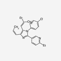 C/C=C\c1nc(-c2ccc(CC)nc2)n(-c2ccc(Cl)cc2)c1/C=C(\C)CC